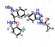 CCCCn1cc(C(=O)N[C@@H](C)c2cccc(F)c2)c2cc(-c3ccc4c(NC(=O)C5CC5)n[nH]c4c3)ccc21